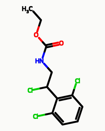 CCOC(=O)NCC(Cl)c1c(Cl)cccc1Cl